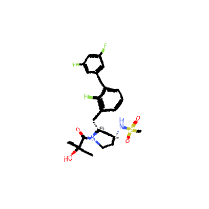 CC(C)(O)C(=O)N1CC[C@@H](NS(C)(=O)=O)[C@H]1Cc1cccc(-c2cc(F)cc(F)c2)c1F